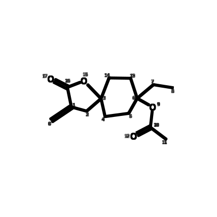 C=C1CC2(CCC(CC)(OC(C)=O)CC2)OC1=O